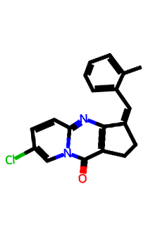 Cc1ccccc1/C=C1/CCc2c1nc1ccc(Cl)cn1c2=O